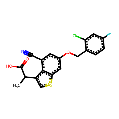 CC(C(=O)O)c1csc2cc(OCc3ccc(F)cc3Cl)cc(C#N)c12